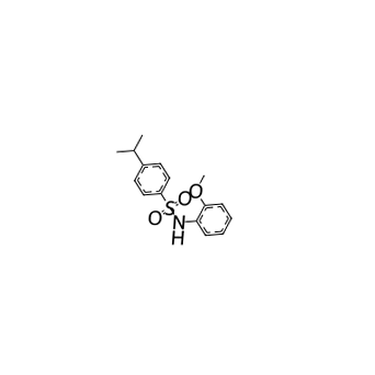 COc1ccccc1NS(=O)(=O)c1ccc(C(C)C)cc1